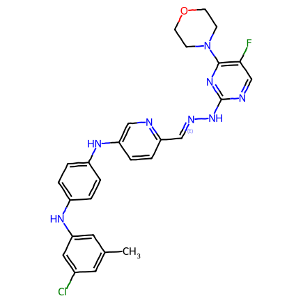 Cc1cc(Cl)cc(Nc2ccc(Nc3ccc(/C=N/Nc4ncc(F)c(N5CCOCC5)n4)nc3)cc2)c1